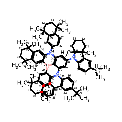 C[SiH](C)c1ccc2c(c1)C1(C)CCCCC1(C)N2c1cc2c3c(c1)N(c1ccc(C(C)(C)C)cc1-c1ccccc1)c1cc4c(cc1B3c1cc3c(cc1N2c1ccc2c(c1)C(C)(C)CCC2(C)C)C(C)(C)CCC3(C)C)C(C)(C)CCC4(C)C